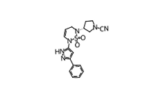 N#CN1CC[C@@H](N2CC=CN(c3cc(-c4ccccc4)n[nH]3)S2(=O)=O)C1